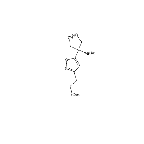 CCCCCCCCCCCCc1cc(C(CO)(CO)NC(C)=O)on1